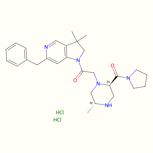 C[C@@H]1CN(CC(=O)N2CC(C)(C)c3cnc(Cc4ccccc4)cc32)[C@@H](C(=O)N2CCCC2)CN1.Cl.Cl